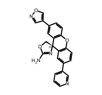 NC1=N[C@@]2(CO1)c1cc(-c3cccnc3)ccc1Oc1ccc(-c3cnoc3)cc12